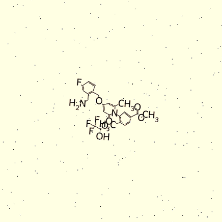 COC(=O)c1ccc(C)c(-n2c(C)cc(OCc3ccc(F)cc3CN)cc2=O)c1.O=C(O)C(F)(F)F